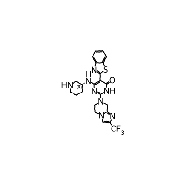 O=c1[nH]c(N2CCn3cc(C(F)(F)F)nc3C2)nc(N[C@@H]2CCCNC2)c1-c1nc2ccccc2s1